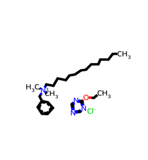 CCCCCCCCCCCCCC[N+](C)(C)Cc1ccccc1.CCOc1ncncn1.[Cl-]